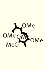 COCC(C)C(C=CC(OC)C(C)C(OC)OC)OC